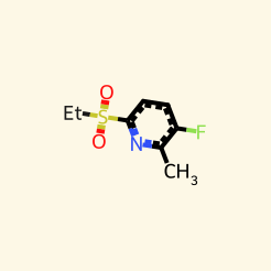 CCS(=O)(=O)c1ccc(F)c(C)n1